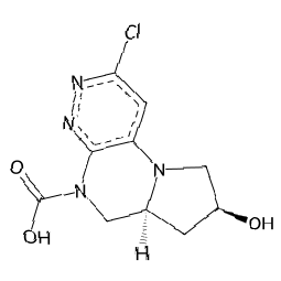 O=C(O)N1C[C@@H]2C[C@H](O)CN2c2cc(Cl)nnc21